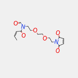 C/C=C\C(=O)N(C=O)CCOCCOCCN1C(=O)C=CC1=O